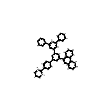 c1ccc(-c2cc(-c3cc(-c4ccc(-c5ncccn5)cc4)cc(-c4cc5ccccc5c5ccccc45)c3)cc(-c3ccccc3)n2)cc1